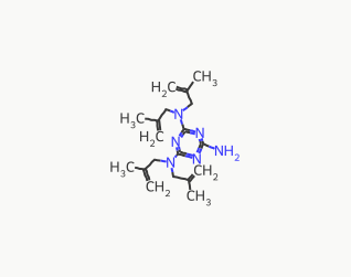 C=C(C)CN(CC(=C)C)c1nc(N)nc(N(CC(=C)C)CC(=C)C)n1